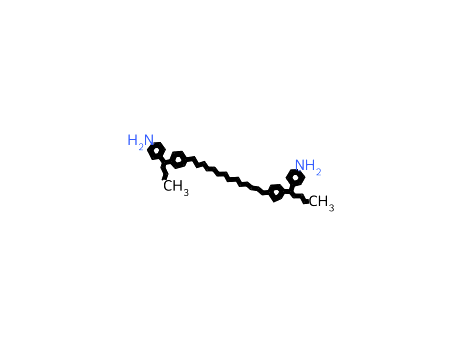 CCCCC(c1ccc(N)cc1)c1ccc(CCCCCCCCCCCCCCc2ccc(C(CCCC)c3ccc(N)cc3)cc2)cc1